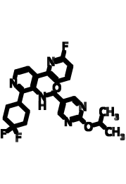 CC(C)Oc1ncc(C(=O)Nc2c(-c3cccc(F)n3)ccnc2C2CCC(F)(F)CC2)cn1